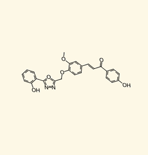 COc1cc(/C=C/C(=O)c2ccc(O)cc2)ccc1OCc1nnc(-c2ccccc2O)o1